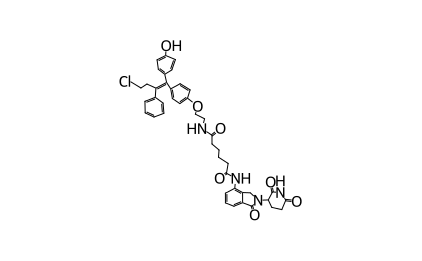 O=C(CCCCC(=O)Nc1cccc2c1CN(C1CCC(=O)NC1=O)C2=O)NCCOc1ccc(C(=C(CCCl)c2ccccc2)c2ccc(O)cc2)cc1